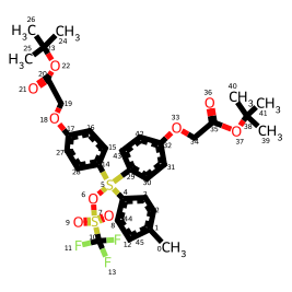 Cc1ccc(S(OS(=O)(=O)C(F)(F)F)(c2ccc(OCC(=O)OC(C)(C)C)cc2)c2ccc(OCC(=O)OC(C)(C)C)cc2)cc1